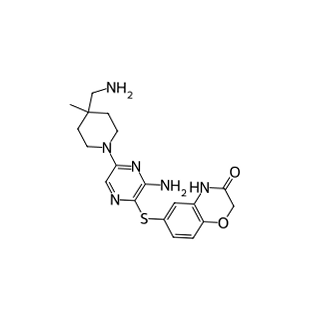 CC1(CN)CCN(c2cnc(Sc3ccc4c(c3)NC(=O)CO4)c(N)n2)CC1